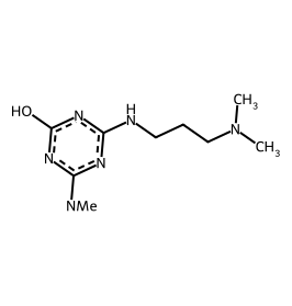 CNc1nc(O)nc(NCCCN(C)C)n1